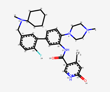 CN1CCN(c2ccc(-c3cc(CN(C)C4CCCCC4)ccc3F)cc2NC(=O)c2c[nH]c(=O)cc2C(F)(F)F)CC1